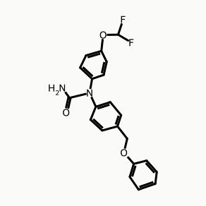 NC(=O)N(c1ccc(COc2ccccc2)cc1)c1ccc(OC(F)F)cc1